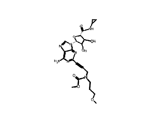 COCCCN(CC#Cc1nc(N)c2ncn([C@@H]3O[C@H](C(=O)NC4CC4)C(O)C3O)c2n1)C(=O)OC